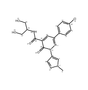 Cn1cc(-n2nc(-c3ccc(Cl)cc3)cc(C(=O)NC(CO)CO)c2=O)cn1